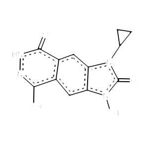 Cc1n[nH]c(=O)c2cc3c(cc12)n(C)c(=O)n3C1CC1